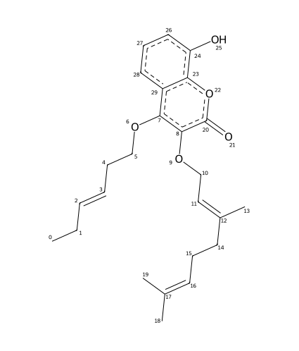 CC/C=C/CCOc1c(OC/C=C(\C)CCC=C(C)C)c(=O)oc2c(O)cccc12